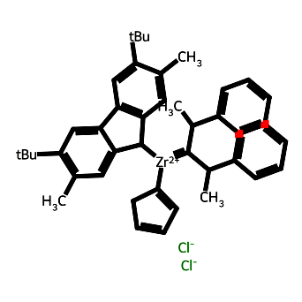 Cc1cc2c(cc1C(C)(C)C)-c1cc(C(C)(C)C)c(C)cc1[CH]2[Zr+2]([C]1=CC=CC1)=[C](C(C)c1ccccc1)C(C)c1ccccc1.[Cl-].[Cl-]